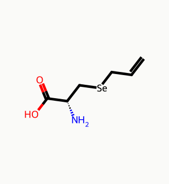 C=CC[Se]C[C@H](N)C(=O)O